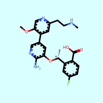 CNCCc1cc(-c2cnc(N)c(O[C@H](C)c3cc(F)ccc3C(=O)O)c2)c(OC)cn1